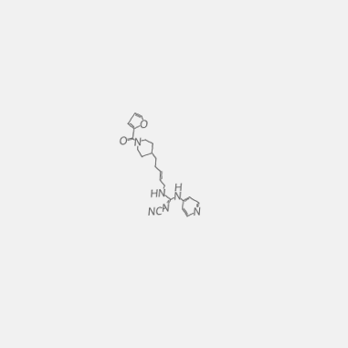 N#C/N=C(\NC/C=C/CCC1CCN(C(=O)c2ccco2)CC1)Nc1ccncc1